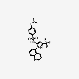 CC(C)Oc1ccc(S(=O)(=O)Nc2cc(C(F)(F)F)nn2-c2cccc3ncccc23)cc1